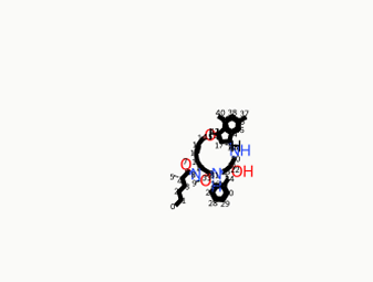 CCCC[C@H](C)C(=O)N(C)[C@H]1CC=CCO[C@@H]2C[C@H](NC[C@@H](O)[C@H](Cc3ccccc3)NC1=O)c1cc(C)cc(C)c12